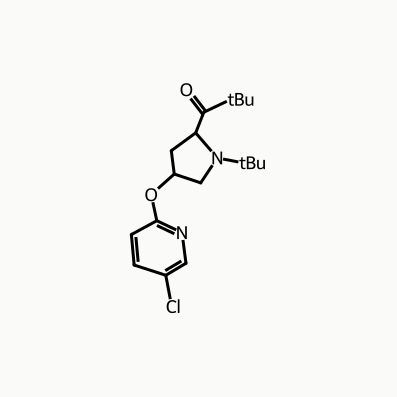 CC(C)(C)C(=O)C1CC(Oc2ccc(Cl)cn2)CN1C(C)(C)C